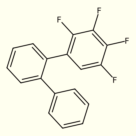 Fc1cc(-c2ccccc2-c2ccccc2)c(F)c(F)c1F